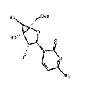 COC[C@]12O[C@@H](n3ccc(N)nc3=O)[C@H](F)[C@@]1(O)C2O